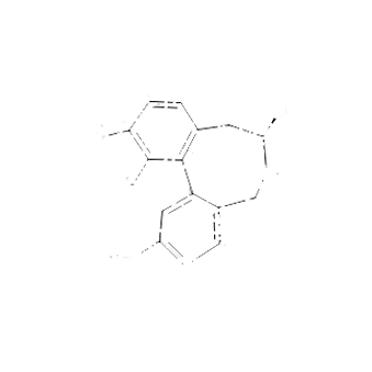 COc1cc2c(cn1)CO[C@H](C(F)(F)F)Cc1ccc(Cl)c(Cl)c1-2